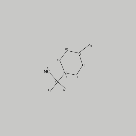 CC1CCN(C(C)(C)C#N)CC1